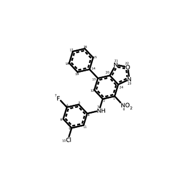 O=[N+]([O-])c1c(Nc2cc(F)cc(Cl)c2)cc(-c2ccccc2)c2nonc12